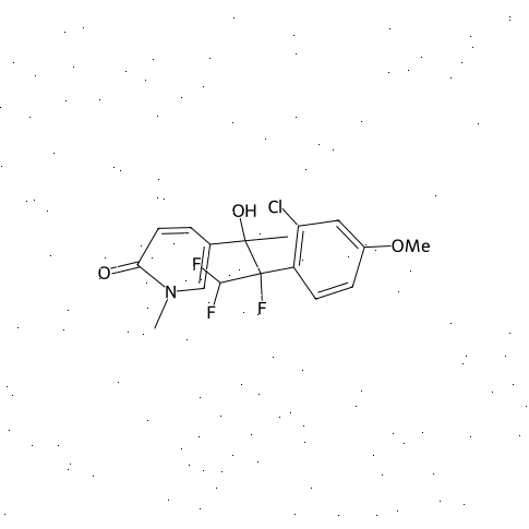 COc1ccc(C(F)(C(F)F)C(C)(O)c2ccc(=O)n(C)c2)c(Cl)c1